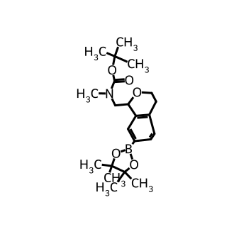 CN(CC1OCCc2ccc(B3OC(C)(C)C(C)(C)O3)cc21)C(=O)OC(C)(C)C